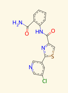 NC(=O)c1ccccc1NC(=O)c1csc(-c2cncc(Cl)c2)n1